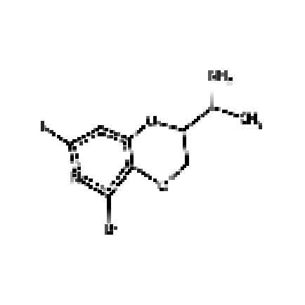 CC(N)C1COc2c(cc(I)nc2Br)O1